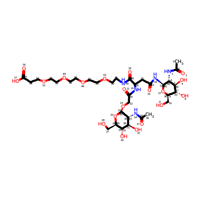 CC(=O)N[C@@H]1[C@@H](O)[C@H](O)[C@@H](CO)O[C@H]1NC(=O)CC(NC(=O)CO[C@@H]1O[C@H](CO)[C@@H](O)[C@H](O)[C@H]1NC(C)=O)C(=O)NCCOCCOCCOCCOCCC(=O)O